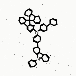 C1=CCCC(C2C=CC(N(C3=CC=C(C4CCC5=C(C4)C4C=CCCC4N5C4=CC=CCC4)CC3)c3ccc4c(c3)C3(C5=C(C=CCC5)C5CCC=CC53)c3ccccc3-4)=CC2)=C1